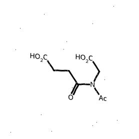 CC(=O)N(CC(=O)O)C(=O)CCC(=O)O